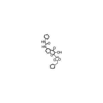 O=C(Nc1ccccc1)Nc1ccc2oc(C3=COC(Cc4ccccc4)O3)c(O)c(=O)c2c1